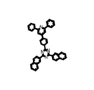 C1=CC(c2nc(-c3ccc4ccccc4c3)nc(-c3ccc4ccccc4c3)n2)CC=C1c1cc(-c2ccccc2)nc(-c2ccccc2)c1